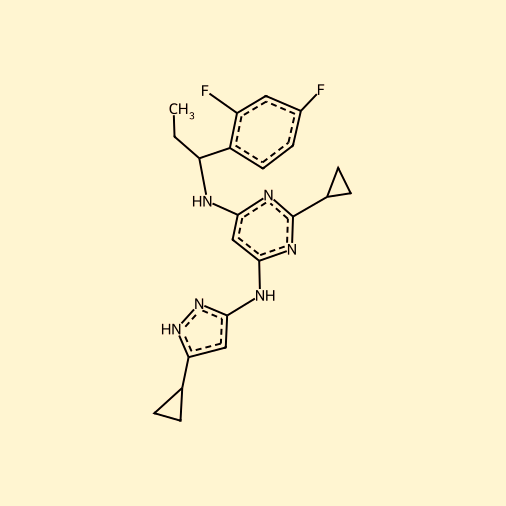 CCC(Nc1cc(Nc2cc(C3CC3)[nH]n2)nc(C2CC2)n1)c1ccc(F)cc1F